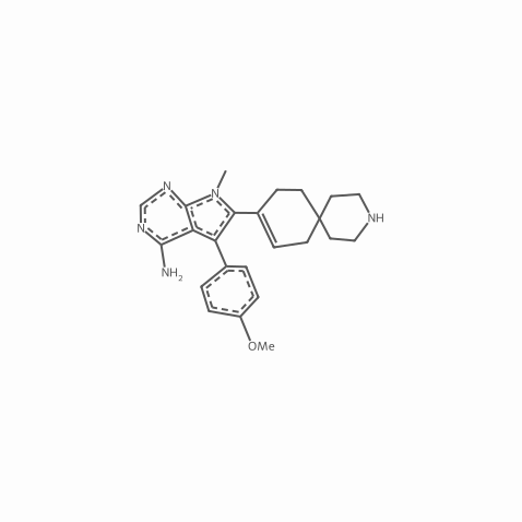 COc1ccc(-c2c(C3=CCC4(CCNCC4)CC3)n(C)c3ncnc(N)c23)cc1